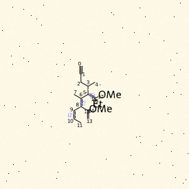 C#CCC(C)C(/C(C)=C(/C=C\C)C(=C)OC)=C(/CC)OC